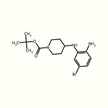 CC(C)(C)OC(=O)N1CCC(Nc2cc(Br)ccc2N)CC1